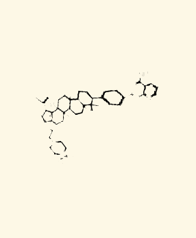 C=C(C)[C@@H]1CC[C@]2(NCCN3CCS(=O)(=O)CC3)CC[C@]3(C)[C@H](CC[C@@H]4[C@@]5(C)CC=C(C6=CC[C@H](COc7ncccc7C(N)=O)CC6)C(C)(C)[C@@H]5CC[C@]43C)[C@@H]12